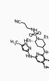 CC[C@@H]1C[C@@H](Nc2nc(Nc3cc(C)[nH]n3)cc3ncccc23)C[C@H](CC)N1S(=O)(=O)NCCC#N